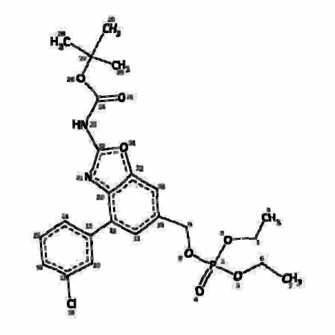 CCOP(=O)(OCC)OCc1cc(-c2cccc(Cl)c2)c2nc(NC(=O)OC(C)(C)C)oc2c1